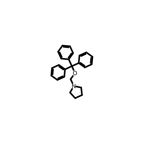 c1ccc(C(OCN2CCCC2)(c2ccccc2)c2ccccc2)cc1